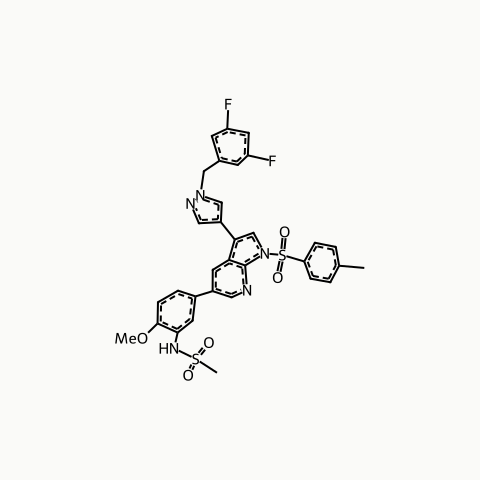 COc1ccc(-c2cnc3c(c2)c(-c2cnn(Cc4cc(F)cc(F)c4)c2)cn3S(=O)(=O)c2ccc(C)cc2)cc1NS(C)(=O)=O